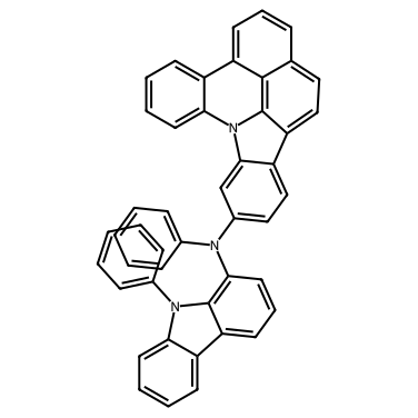 c1ccc(N(c2ccc3c4ccc5cccc6c7ccccc7n(c3c2)c4c56)c2cccc3c4ccccc4n(-c4ccccc4)c23)cc1